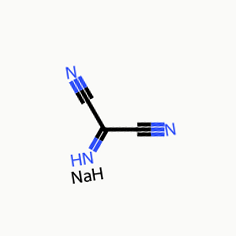 N#CC(=N)C#N.[NaH]